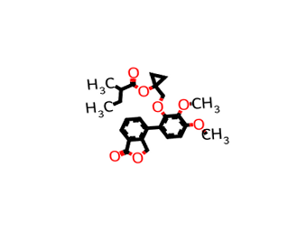 CCC(C)C(=O)OC1(COc2c(-c3cccc4c3COC4=O)ccc(OC)c2OC)CC1